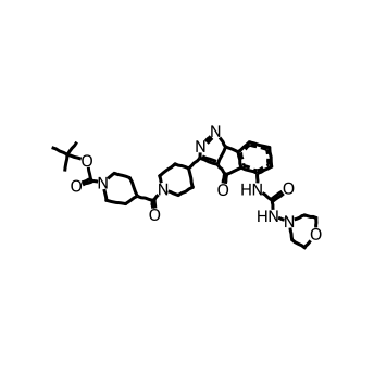 CC(C)(C)OC(=O)N1CCC(C(=O)N2CCC(C3=C4C(=O)c5c(NC(=O)NN6CCOCC6)cccc5C4N=N3)CC2)CC1